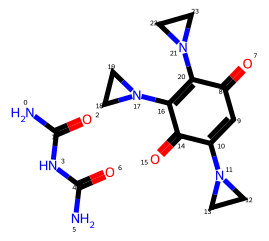 NC(=O)NC(N)=O.O=C1C=C(N2CC2)C(=O)C(N2CC2)=C1N1CC1